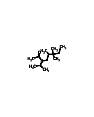 CCC(C)(C)C(C)CN(C(C)=O)C(C)C